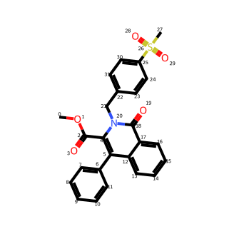 COC(=O)c1c(-c2ccccc2)c2ccccc2c(=O)n1Cc1ccc(S(C)(=O)=O)cc1